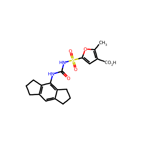 Cc1oc(S(=O)(=O)NC(=O)Nc2c3c(cc4c2CCC4)CCC3)cc1C(=O)O